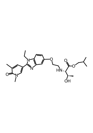 CCn1c(-c2cc(C)c(=O)n(C)c2)nc2cc(OCCN[C@H](C(=O)OCC(C)C)[C@@H](C)O)ccc21